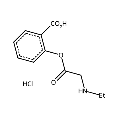 CCNCC(=O)Oc1ccccc1C(=O)O.Cl